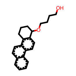 OCCCCOC1CCCc2c1ccc1c2ccc2ccccc21